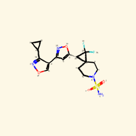 NS(=O)(=O)N1CCC2(CC1)[C@H](c1cc(-c3conc3C3CC3)no1)C2(F)F